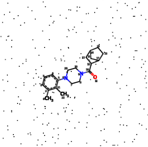 Cc1cccc(N2CCN(C(=O)C3CC4CCC3C4)CC2)c1C